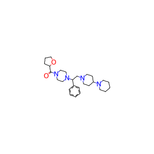 O=C(C1CCCO1)N1CCN(C(CN2CCC(N3CCCCC3)CC2)c2ccccc2)CC1